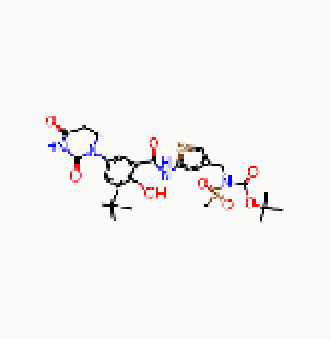 CC(C)(C)OC(=O)N(Cc1csc(NC(=O)c2cc(N3CCC(=O)NC3=O)cc(C(C)(C)C)c2O)c1)S(C)(=O)=O